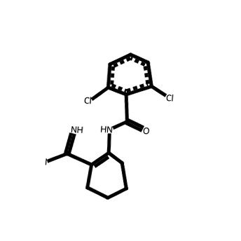 N=C(I)C1=C(NC(=O)c2c(Cl)cccc2Cl)CCCC1